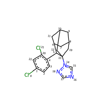 Clc1ccc(C2C3CC4CC(C3)CC2(n2cncn2)C4)c(Cl)c1